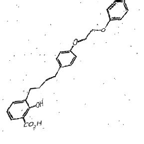 O=C(O)c1cccc(CCCCc2ccc(OCCOc3ccccc3)cc2)c1O